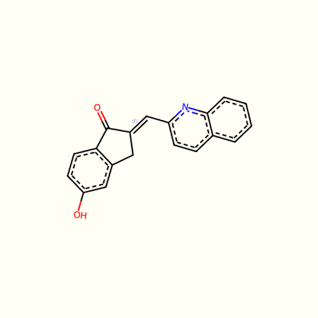 O=C1/C(=C/c2ccc3ccccc3n2)Cc2cc(O)ccc21